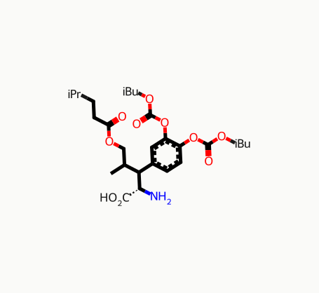 CCC(C)OC(=O)Oc1ccc(C(C(C)COC(=O)CCC(C)C)[C@H](N)C(=O)O)cc1OC(=O)OC(C)CC